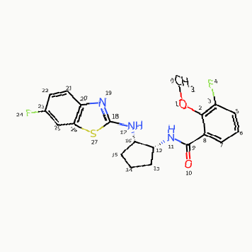 COc1c(F)cccc1C(=O)N[C@@H]1CCC[C@@H]1Nc1nc2ccc(F)cc2s1